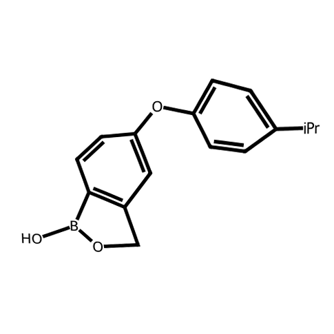 CC(C)c1ccc(Oc2ccc3c(c2)COB3O)cc1